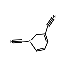 N#CC1=CC=CN(C#N)C1